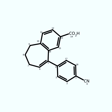 N#Cc1ccc(C2=CCCCc3ccc(C(=O)O)cc32)cc1